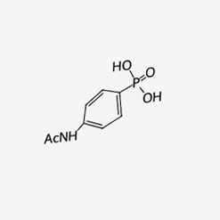 CC(=O)Nc1ccc(P(=O)(O)O)cc1